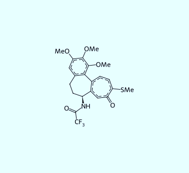 COc1cc2c(c(OC)c1OC)-c1ccc(SC)c(=O)cc1[C@@H](NC(=O)C(F)(F)F)CC2